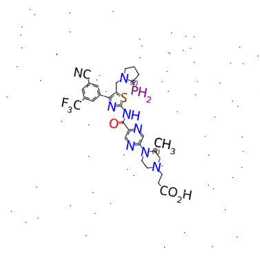 C[C@@H]1CN(CCC(=O)O)CCN1c1cnc(C(=O)Nc2nc(-c3cc(C#N)cc(C(F)(F)F)c3)c(CN3CCC[C@H]3P)s2)cn1